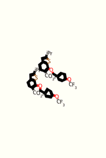 CC(C)c1cc2ccc(C(=O)O)c(OCc3ccc(OC(F)(F)F)cc3)c2s1.CC(C)c1cc2ccc(C(=O)O)c(OCc3ccc(OC(F)(F)F)cc3)c2s1